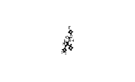 Cn1nc(C2CC(F)(F)C2)c(C2(C)CCC2)c1NC(=O)O[C@H]1C[C@@H](F)C1